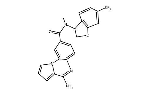 CN(C(=O)c1ccc2nc(N)c3cccn3c2c1)C1COc2cc(C(F)(F)F)ccc21